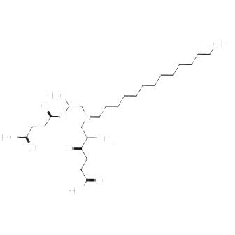 CCCCCCCCCCCCCCN(CC(C)OC(=O)CCC(=O)O)CC(C)C(=O)CCC(=O)O